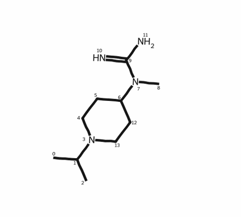 CC(C)N1CCC(N(C)C(=N)N)CC1